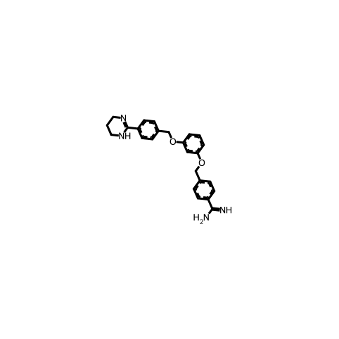 N=C(N)c1ccc(COc2cccc(OCc3ccc(C4=NCCCN4)cc3)c2)cc1